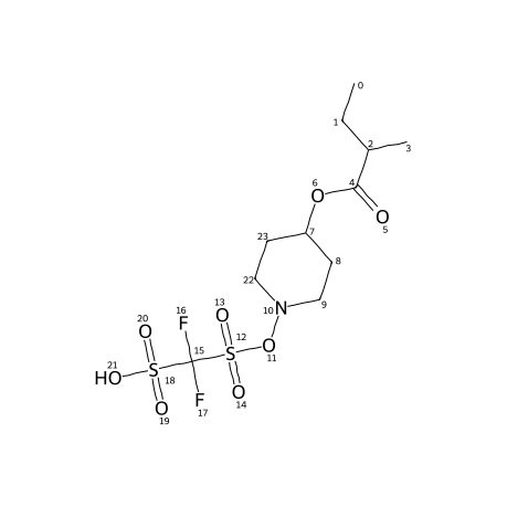 CCC(C)C(=O)OC1CCN(OS(=O)(=O)C(F)(F)S(=O)(=O)O)CC1